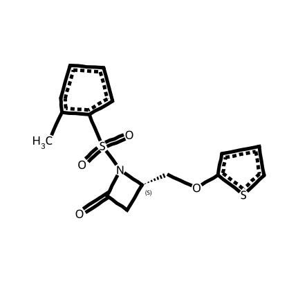 Cc1ccccc1S(=O)(=O)N1C(=O)C[C@H]1COc1cccs1